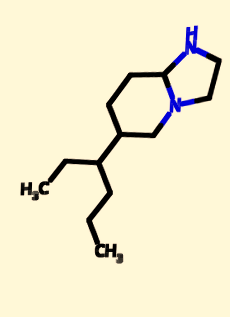 CCCC(CC)C1CCC2NCCN2C1